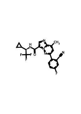 Cc1cc(-c2ccc(F)cc2C#N)nn2c(C(=O)N[C@H](C3CC3)C(F)(F)F)cnc12